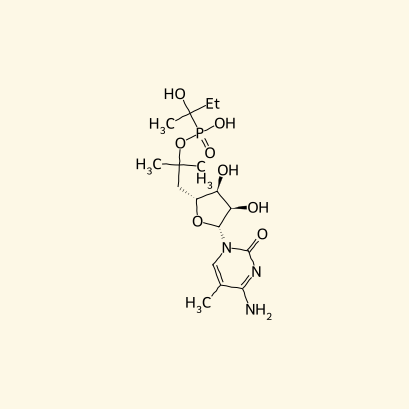 CCC(C)(O)P(=O)(O)OC(C)(C)C[C@H]1O[C@@H](n2cc(C)c(N)nc2=O)[C@H](O)[C@@H]1O